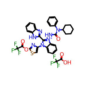 O=C(N[n+]1c(-c2nc3ccccc3[nH]2)n(-c2cscn2)c2ccccc21)N(c1ccccc1)C1CCCCC1.O=C(O)C(F)(F)F.O=C([O-])C(F)(F)F